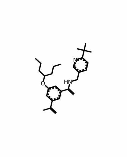 C=C(C)c1cc(OC(CCC)CCC)cc(C(=C)NCc2ccc(C(C)(C)C)nc2)c1